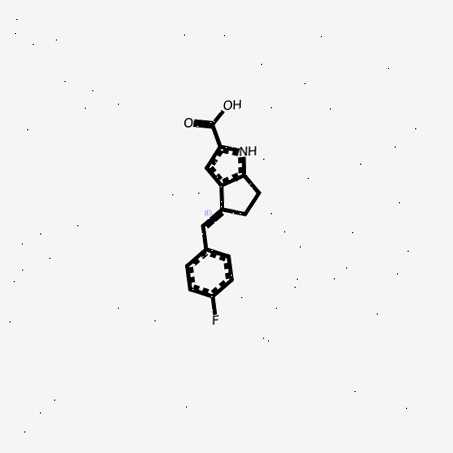 O=C(O)c1cc2c([nH]1)CC/C2=C\c1ccc(F)cc1